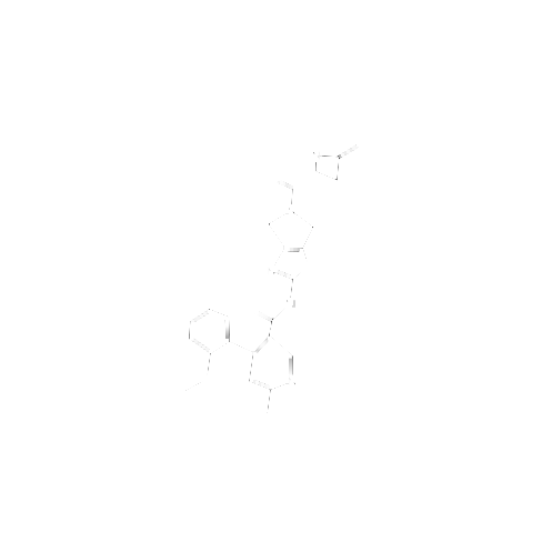 COc1ccccc1-c1cc(C)ncc1C(=O)Nc1nc2c(s1)CN(C(=O)[C@H]1CC(=O)N1)C2